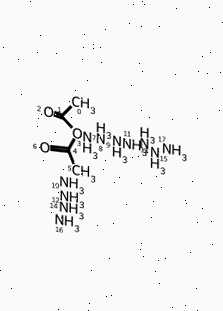 CC(=O)OC(C)=O.N.N.N.N.N.N.N.N.N.N.N